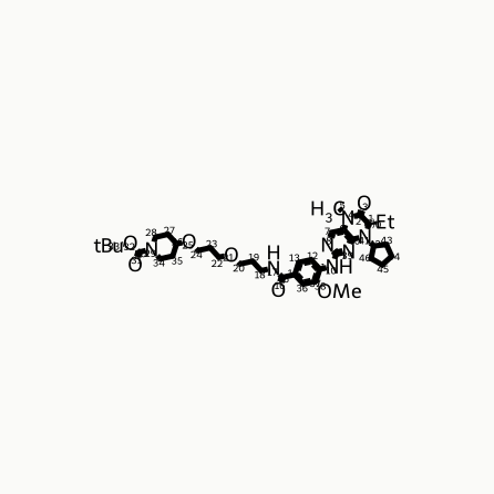 CC[C@@H]1C(=O)N(C)c2cnc(Nc3ccc(C(=O)NCCCOCCCOC4CCN(C(=O)OC(C)(C)C)CC4)cc3OC)nc2N1C1CCCC1